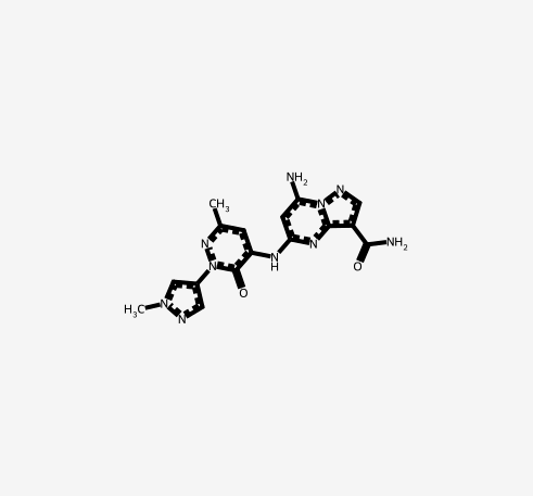 Cc1cc(Nc2cc(N)n3ncc(C(N)=O)c3n2)c(=O)n(-c2cnn(C)c2)n1